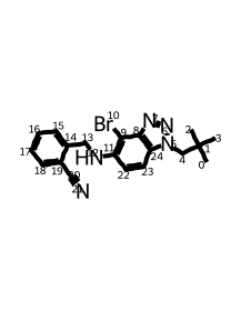 CC(C)(C)Cn1nnc2c(Br)c(NCc3ccccc3C#N)ccc21